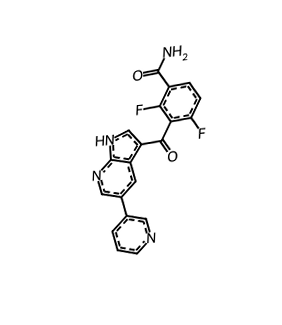 NC(=O)c1ccc(F)c(C(=O)c2c[nH]c3ncc(-c4cccnc4)cc23)c1F